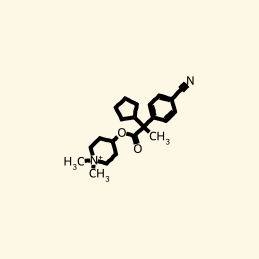 CC(C(=O)OC1CC[N+](C)(C)CC1)(c1ccc(C#N)cc1)C1CCCC1